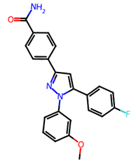 COc1cccc(-n2nc(-c3ccc(C(N)=O)cc3)cc2-c2ccc(F)cc2)c1